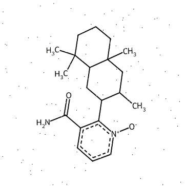 CC1CC2(C)CCCC(C)(C)C2CC1c1c(C(N)=O)ccc[n+]1[O-]